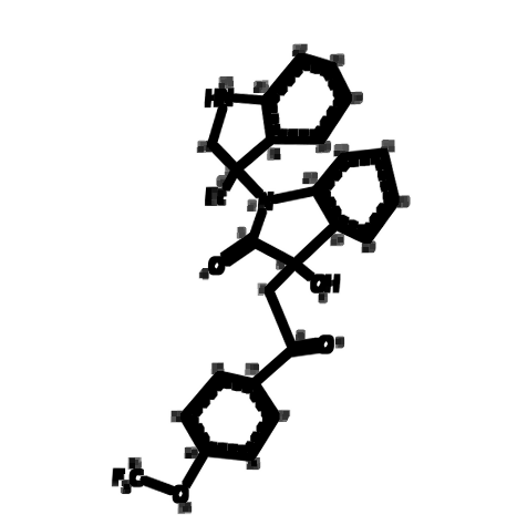 CCC1(N2C(=O)C(O)(CC(=O)c3ccc(OC(F)(F)F)cc3)c3ccccc32)CNc2ccccc21